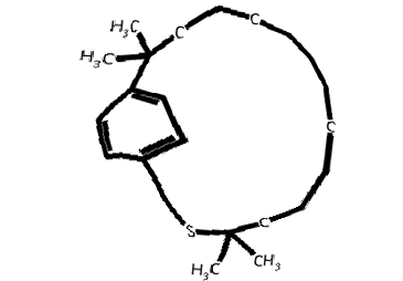 CC1(C)CCCCCCCCCCC(C)(C)c2ccc(cc2)S1